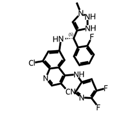 CN1C=C([C@@H](Nc2cc(Cl)c3ncc(C#N)c(Nc4cnc(F)c(F)c4)c3c2)c2ccccc2F)NN1